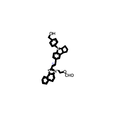 O=COCC[n+]1c(/C=C/c2ccc3c(c2)C2CCCC2N3c2ccc(CO)cc2)sc2c3ccccc3ccc21